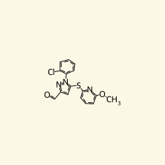 COc1cccc(Sc2cc(C=O)nn2-c2ccccc2Cl)n1